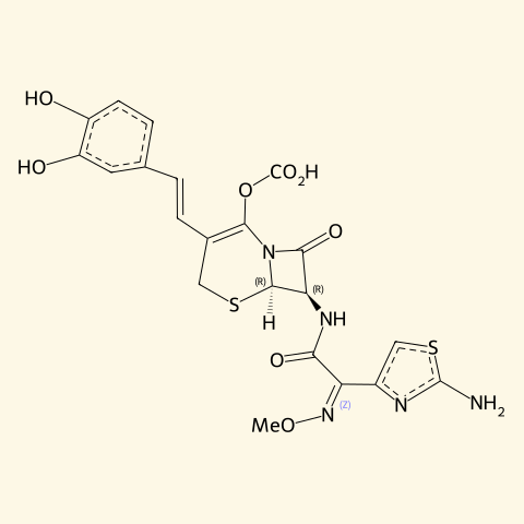 CO/N=C(\C(=O)N[C@@H]1C(=O)N2C(OC(=O)O)=C(C=Cc3ccc(O)c(O)c3)CS[C@H]12)c1csc(N)n1